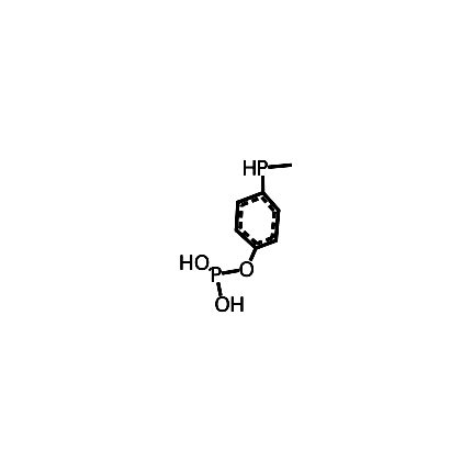 CPc1ccc(OP(O)O)cc1